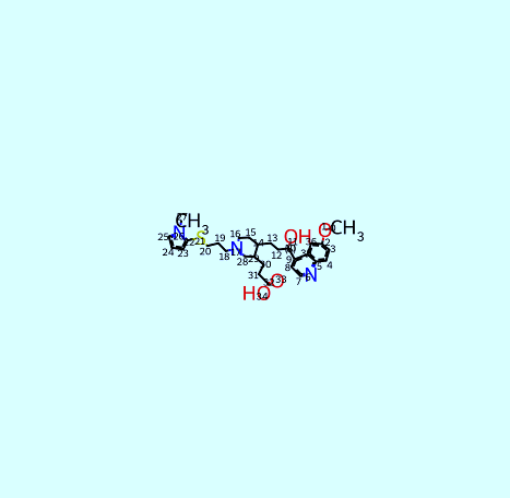 COc1ccc2nccc([C@@H](O)CCC3CCN(CCCSc4cccn4C)CC3CCC(=O)O)c2c1